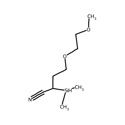 COCCOCCC(C#N)[SiH](C)C